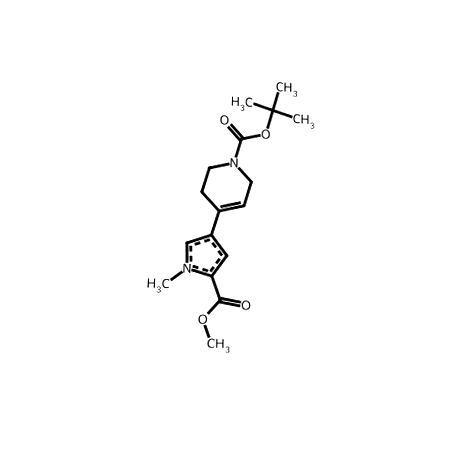 COC(=O)c1cc(C2=CCN(C(=O)OC(C)(C)C)CC2)cn1C